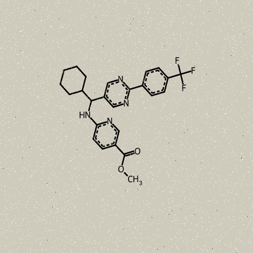 COC(=O)c1ccc(NC(c2cnc(-c3ccc(C(F)(F)F)cc3)nc2)C2CCCCC2)nc1